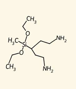 CCO[Si](C)(OCC)C(CCN)CCN